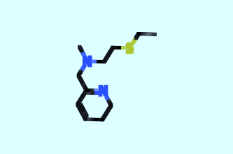 CCSCCN(C)CC1=NCCC=C1